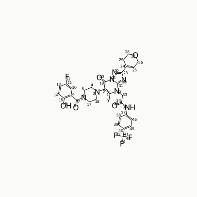 Cc1c(N2CCN(C(=O)c3cc(F)ccc3O)CC2)c(=O)n2nc(C3=CCOCC3)nc2n1CC(=O)Nc1ccc(C(F)(F)F)cc1